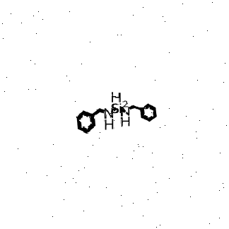 c1ccc(CN[SiH2]NCc2ccccc2)cc1